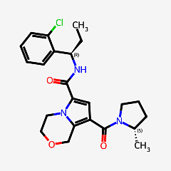 CC[C@@H](NC(=O)c1cc(C(=O)N2CCC[C@@H]2C)c2n1CCOC2)c1ccccc1Cl